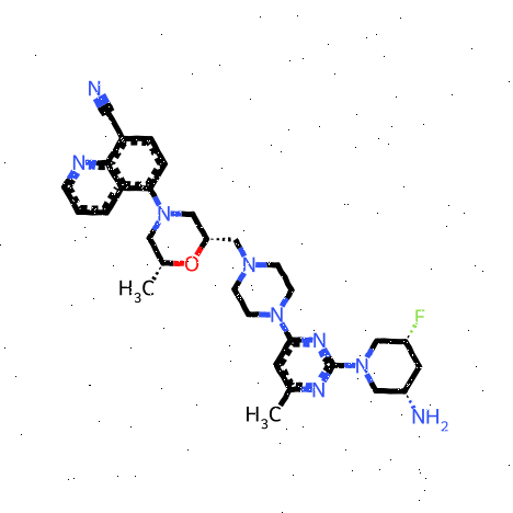 Cc1cc(N2CCN(C[C@H]3CN(c4ccc(C#N)c5ncccc45)C[C@@H](C)O3)CC2)nc(N2C[C@@H](N)C[C@@H](F)C2)n1